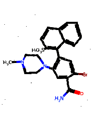 CN1CCN(c2cc(C(N)=O)c(Br)cc2-c2c(S(=O)(=O)O)ccc3ccccc23)CC1